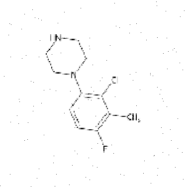 Cc1c(F)ccc(N2CCNCC2)c1Cl